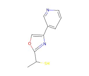 CC(S)c1nc(-c2cccnc2)co1